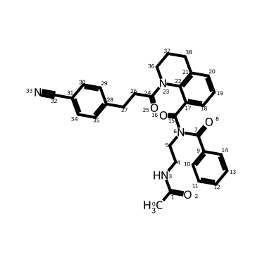 CC(=O)NCCN(C(=O)c1ccccc1)C(=O)c1cccc2c1N(C(=O)CCc1ccc(C#N)cc1)CCC2